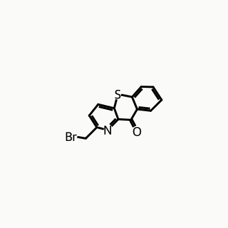 O=c1c2ccccc2sc2ccc(CBr)nc12